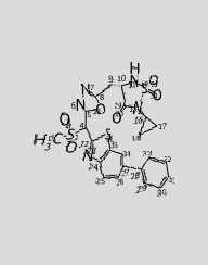 CS(=O)(=O)C(c1nnc(C[C@@H]2NS(=O)(=O)N(C3CC3)C2=O)o1)c1nc2ccc(-c3ccccc3)cc2s1